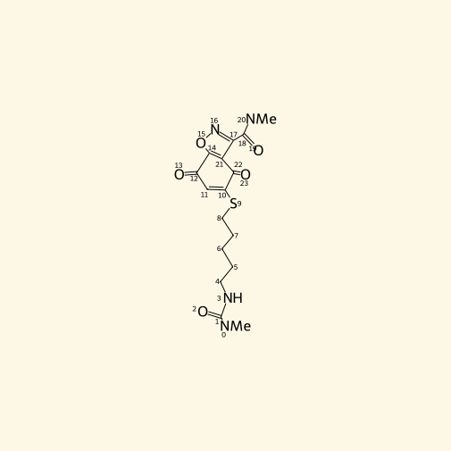 CNC(=O)NCCCCCSC1=CC(=O)c2onc(C(=O)NC)c2C1=O